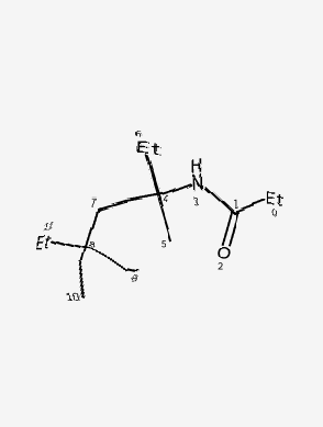 CCC(=O)NC(C)(CC)CC(C)(C)CC